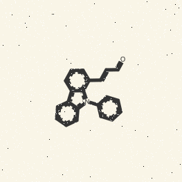 O=CC=Cc1cccc2c3ccccc3n(-c3ccccc3)c12